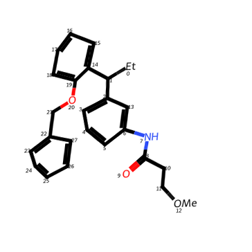 CCC(c1cccc(NC(=O)CCOC)c1)c1ccccc1OCc1ccccc1